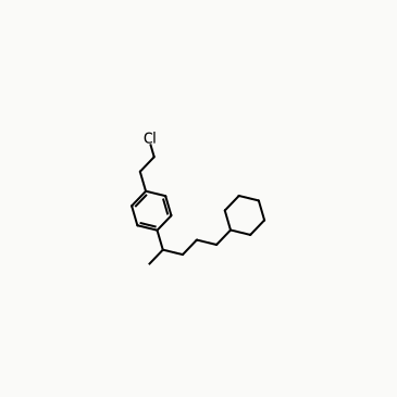 CC(CCCC1CCCCC1)c1ccc(CCCl)cc1